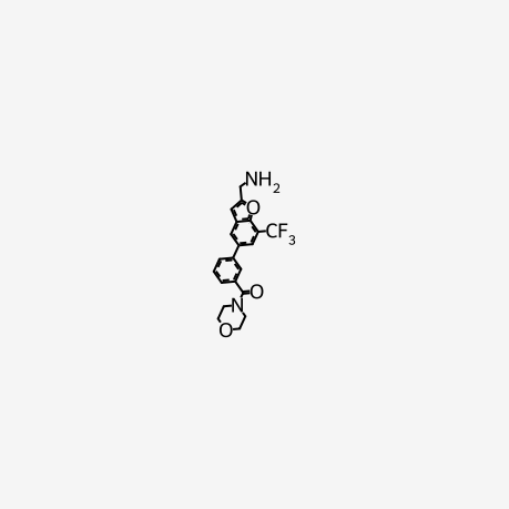 NCc1cc2cc(-c3cccc(C(=O)N4CCOCC4)c3)cc(C(F)(F)F)c2o1